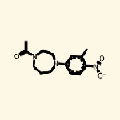 CC(=O)N1CCCN(c2ccc([N+](=O)[O-])c(C)c2)CC1